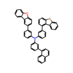 c1cc(-c2ccc3oc4ccccc4c3c2)cc(N(c2cccc(-c3cccc4ccccc34)c2)c2cccc(-c3cccc4sc5ccccc5c34)c2)c1